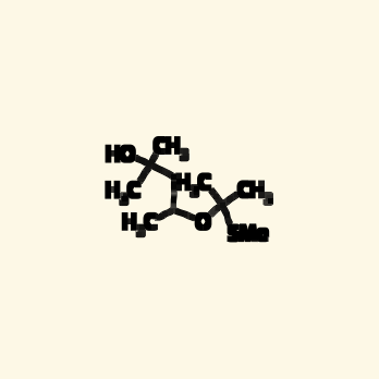 CSC(C)(C)OC(C)CC(C)(C)O